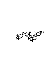 Cc1cc(Nc2ncnc3ccc(N4CCNCC4=O)nc23)ccc1Oc1ccn2ncnc2c1